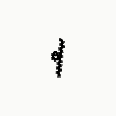 C1CCOCC1.CCCCC=CCCCCCCCCCC